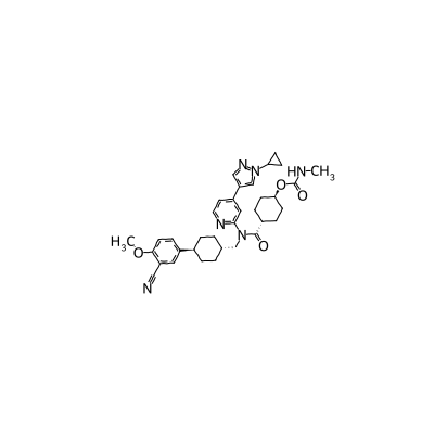 CNC(=O)O[C@H]1CC[C@H](C(=O)N(C[C@H]2CC[C@H](c3ccc(OC)c(C#N)c3)CC2)c2cc(-c3cnn(C4CC4)c3)ccn2)CC1